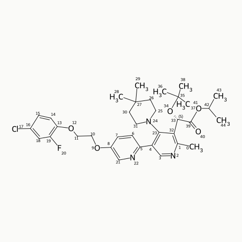 Cc1ncc(-c2ccc(OCCOc3ccc(Cl)cc3F)cn2)c(N2CCC(C)(C)CC2)c1[C@H](OC(C)(C)C)C(=O)OC(C)C